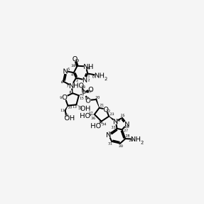 Nc1nc2c(ncn2[C@@H]2O[C@H](CO)[C@@H](O)[C@H]2P(=O)(O)OC[C@H]2O[C@@H](n3cnc4c(N)ccnc43)[C@H](O)[C@@H]2O)c(=O)[nH]1